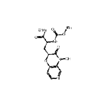 COC(=O)[C@H](C[C@@H]1Oc2ccncc2N(O)C1=O)NC(=O)OC(C)(C)C